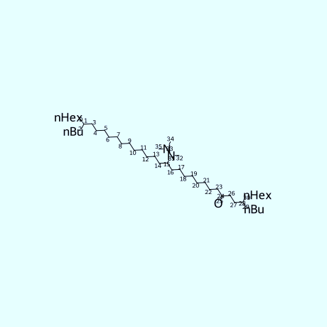 CCCCCCC(CCCC)CCCCCCCCCCCCC(CCCCCCCCC(=O)CCC(CCCC)CCCCCC)N(C)N(C)C